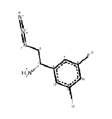 [N-]=[N+]=NC[C@@H](N)c1cc(F)cc(I)c1